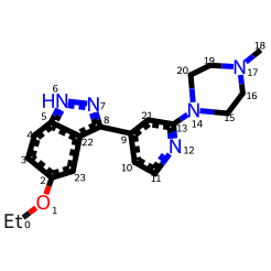 CCOc1ccc2[nH]nc(-c3ccnc(N4CCN(C)CC4)c3)c2c1